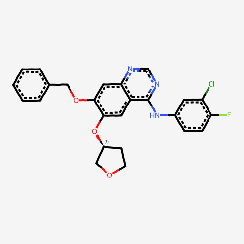 Fc1ccc(Nc2ncnc3cc(OCc4ccccc4)c(O[C@H]4CCOC4)cc23)cc1Cl